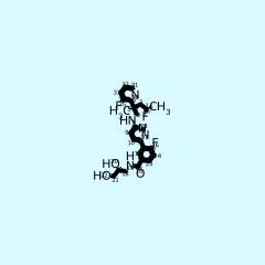 C[C@H](F)C[C@@](C)(CNc1ccc(-c2cc(C(=O)NC[C@H](O)CO)ccc2F)nn1)c1ncccc1F